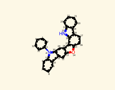 c1ccc(-n2c3ccccc3c3cc4oc5ccc6c7ccccc7[nH]c6c5c4cc32)cc1